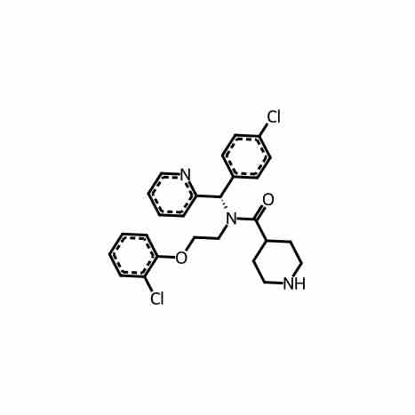 O=C(C1CCNCC1)N(CCOc1ccccc1Cl)[C@@H](c1ccc(Cl)cc1)c1ccccn1